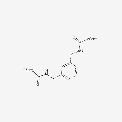 CCCCCC(=O)NCc1cccc(CNC(=O)CCCCC)c1